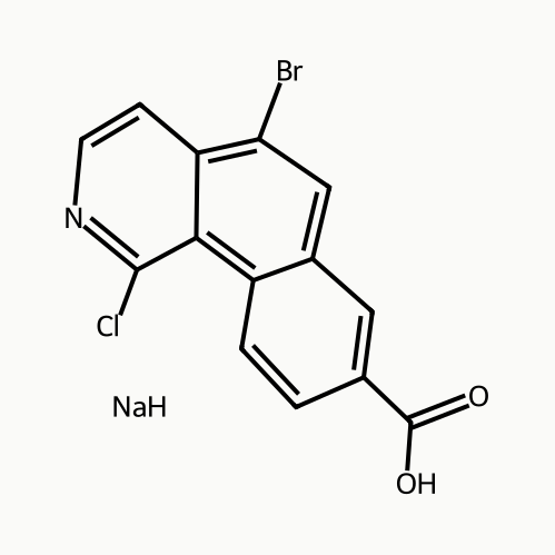 O=C(O)c1ccc2c(c1)cc(Br)c1ccnc(Cl)c12.[NaH]